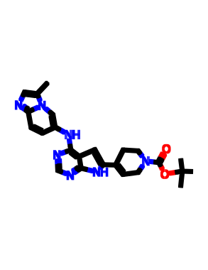 Cc1cnc2ccc(Nc3ncnc4[nH]c(C5=CCN(C(=O)OC(C)(C)C)CC5)cc34)cn12